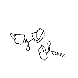 COC(=O)C12CC3CC(C1)CC(C14CC5CC(CC(C(=O)N6CCOCC6)(C5)C1)C4)(C3)C2